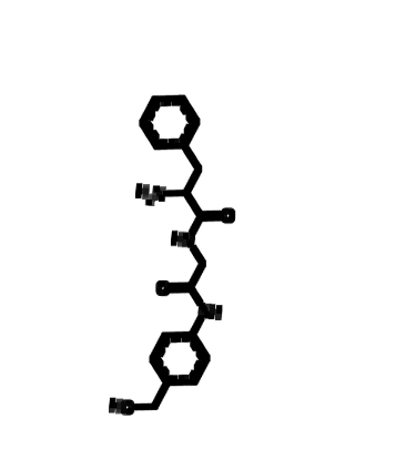 NC(Cc1ccccc1)C(=O)NCC(=O)Nc1ccc(CO)cc1